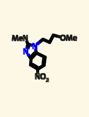 CNc1nc2cc([N+](=O)[O-])ccc2n1CCCOC